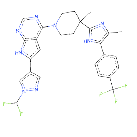 Cc1nc(C2(C)CCN(c3ncnc4[nH]c(-c5cnn(C(F)F)c5)cc34)CC2)[nH]c1-c1ccc(C(F)(F)F)cc1